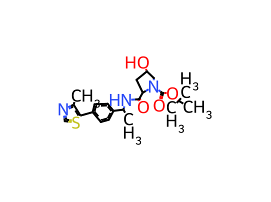 Cc1ncsc1-c1ccc(C(C)NC(=O)C2CC(O)CN2C(=O)OC(C)(C)C)cc1